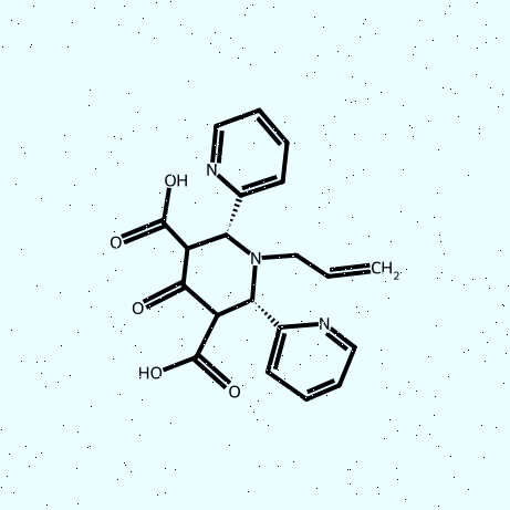 C=CCN1[C@H](c2ccccn2)C(C(=O)O)C(=O)C(C(=O)O)[C@@H]1c1ccccn1